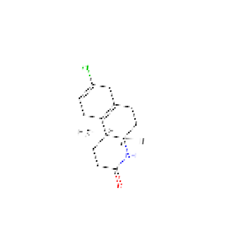 C[C@@]12CCC(=O)N[C@@H]1CCC1=C2CC=C(Cl)C1